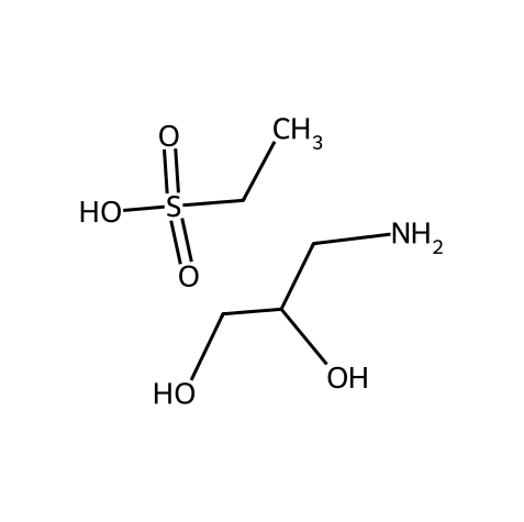 CCS(=O)(=O)O.NCC(O)CO